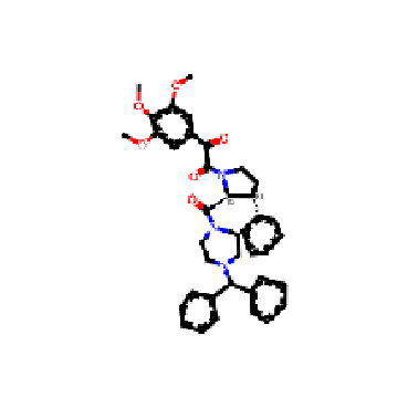 COc1cc(C(=O)C(=O)N2CC[C@H](c3ccccc3)[C@H]2C(=O)N2CCN(C(c3ccccc3)c3ccccc3)CC2)cc(OC)c1OC